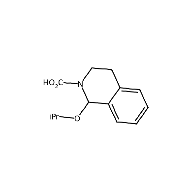 CC(C)OC1c2ccccc2CCN1C(=O)O